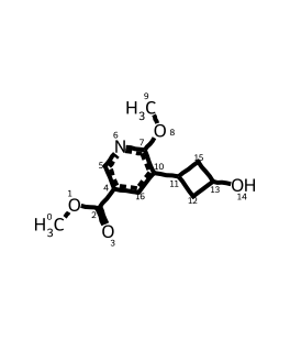 COC(=O)c1cnc(OC)c(C2CC(O)C2)c1